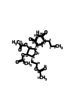 CCCn1cc([C@@H]2O[C@H](CCOC(C)=O)[C@@H](OC(C)=O)[C@H]2OC(C)=O)c(=O)[nH]c1=O